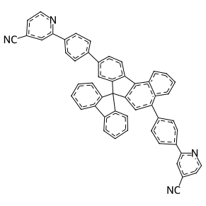 N#Cc1ccnc(-c2ccc(-c3ccc4c(c3)C3(c5ccccc5-c5ccccc53)c3cc(-c5ccc(-c6cc(C#N)ccn6)cc5)c5ccccc5c3-4)cc2)c1